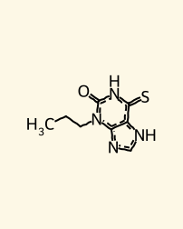 CCCn1c(=O)[nH]c(=S)c2[nH]cnc21